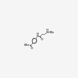 CC(C)(C)NCCC(=O)Nc1ccc(C(=O)C(C)(C)C)cc1